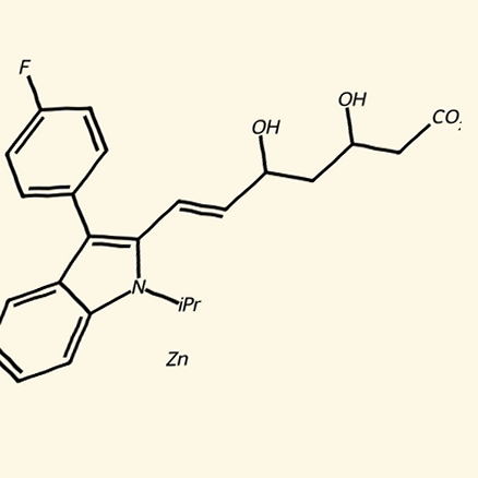 CC(C)n1c(/C=C/C(O)CC(O)CC(=O)O)c(-c2ccc(F)cc2)c2ccccc21.[Zn]